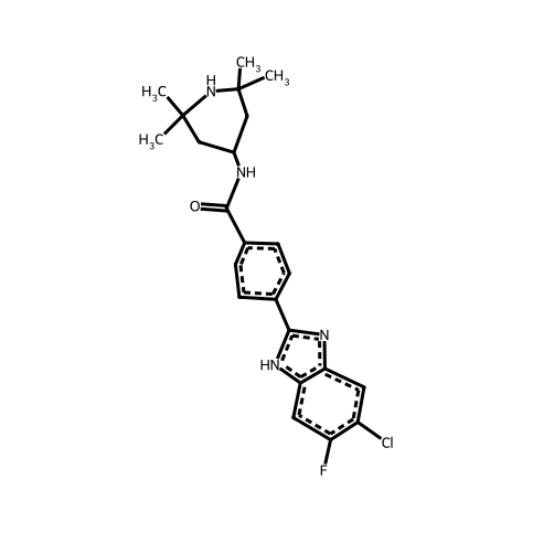 CC1(C)CC(NC(=O)c2ccc(-c3nc4cc(Cl)c(F)cc4[nH]3)cc2)CC(C)(C)N1